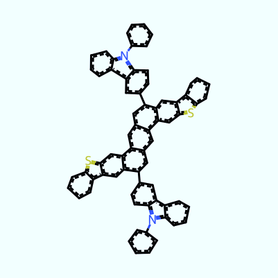 c1ccc(-n2c3ccccc3c3cc(-c4cc5cc6c(cc(-c7ccc8c(c7)c7ccccc7n8-c7ccccc7)c7cc8c(cc76)sc6ccccc68)cc5c5cc6sc7ccccc7c6cc45)ccc32)cc1